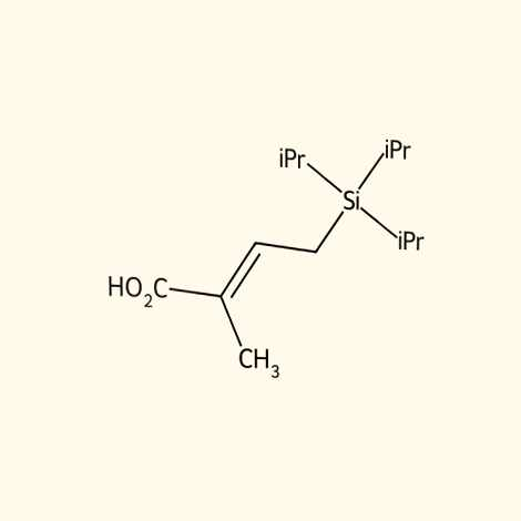 CC(=CC[Si](C(C)C)(C(C)C)C(C)C)C(=O)O